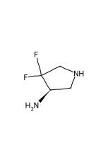 N[C@@H]1CNCC1(F)F